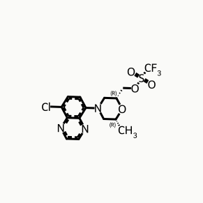 C[C@@H]1CN(c2ccc(Cl)c3nccnc23)C[C@H](COS(=O)(=O)C(F)(F)F)O1